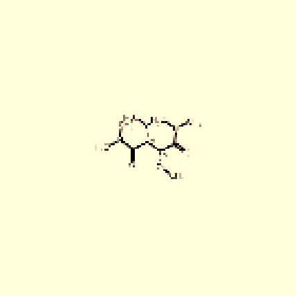 CO[C@@H](C(=O)N(C)C)[C@@H](OC)C(=O)N(C)C